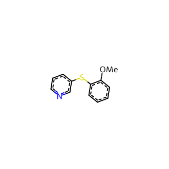 COc1ccccc1Sc1cccnc1